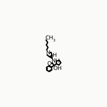 CCCCCCN1CC2[C@@H](C1)[C@@H]2NC(=O)C(O)(c1ccccc1)C1CCCC1